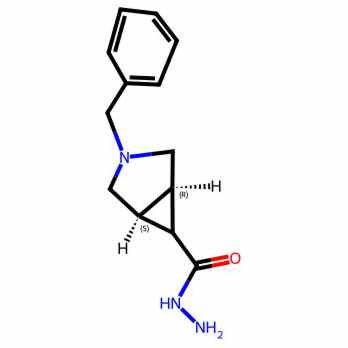 NNC(=O)C1[C@H]2CN(Cc3ccccc3)C[C@@H]12